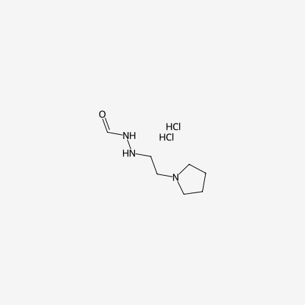 Cl.Cl.O=CNNCCN1CCCC1